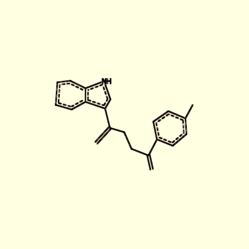 C=C(CCC(=C)c1c[nH]c2ccccc12)c1ccc(C)cc1